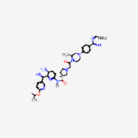 CCN(C(=O)[C@@H]1CCN(CC(=O)N2CCN(c3ccc(C(=N)/N=C\NC)cc3)C[C@@H]2C)C1)c1ccc(N)c(C(=N)c2ccc(OC(C)I)nc2)n1